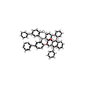 c1ccc(-c2ccc3c(c2)B2c4cc(-c5ccccc5)ccc4Oc4cc(-c5ccccc5-c5c6ccccc6c(-c6ccccc6)c6ccccc56)cc(c42)O3)cc1